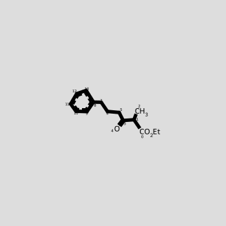 CCOC(=O)C(C)C(=O)CCCc1ccccc1